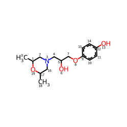 CC1CN(CC(O)COc2ccc(O)cc2)CC(C)O1